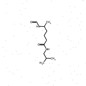 CC(C)CNC(=O)CCCC(C)NC=O